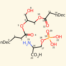 CCCCCCCCCCCCC(=O)OC(CO)COC(=O)CCCCCCCCCCC.NC(COP(=O)(O)O)C(=O)O